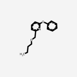 CCCCOCc1cccc(Oc2ccccc2)n1